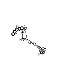 CCC1(OC(=O)CCCC2=C(NCCOCCOCCOCC(=O)ON3C(=O)CCC3=O)N2)C(=O)OCc2c1cc1n(c2=O)Cc2cc3ccccc3nc2-1